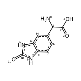 NC(C(=O)O)c1ccc2[nH]c(=O)[nH]c2c1